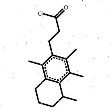 Cc1c(C)c2c(c(C)c1CCC(=O)Cl)CCCC2C